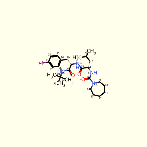 CC(C)C[C@H](NC(=O)N1CCCCCC1)C(=O)N[C@@H](Cc1ccc(I)cc1)C(=O)NC(C)(C)C